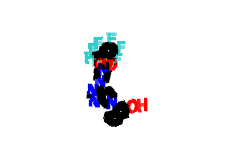 O=S(=O)(c1c(F)c(F)c(F)c(F)c1C(F)(F)F)N1CCN(c2ncnc3c2CCN(c2cc(O)cc4ccccc24)C3)CC1